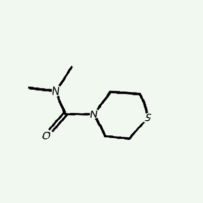 CN(C)C(=O)N1CCSCC1